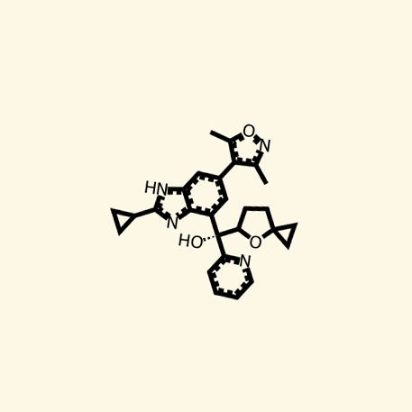 Cc1noc(C)c1-c1cc([C@](O)(c2ccccn2)C2CCC3(CC3)O2)c2nc(C3CC3)[nH]c2c1